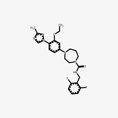 CCOc1cc(N2CCCN(C(=O)NCc3c(F)cccc3F)CC2)ccc1-n1cnc(C)n1